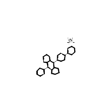 CP(C)(=O)c1cccc(-c2ccc(-c3c4ccccc4c(-c4ccccc4)c4ccccc34)cc2)c1